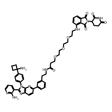 Nc1ncccc1-c1nc2ccc(-c3cccc(CCNC(=O)CCOCCOCCOCCNc4cccc5c4C(=O)N(C4CCC(=O)NC4=O)C5=O)c3)nc2n1-c1ccc(C2(N)CCC2)cc1